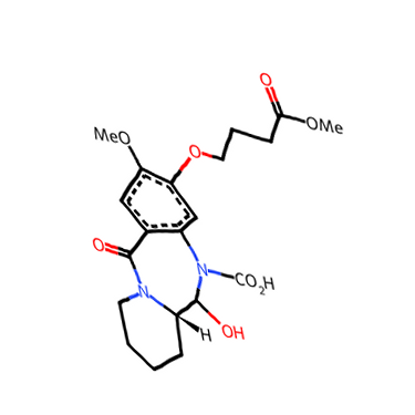 COC(=O)CCCOc1cc2c(cc1OC)C(=O)N1CCCC[C@H]1C(O)N2C(=O)O